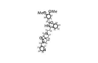 COc1ccc(CC(=O)NC(CCN2CCC3(CC2)CCN(Cc2cccnc2)C3=O)c2ccccc2)cc1OC